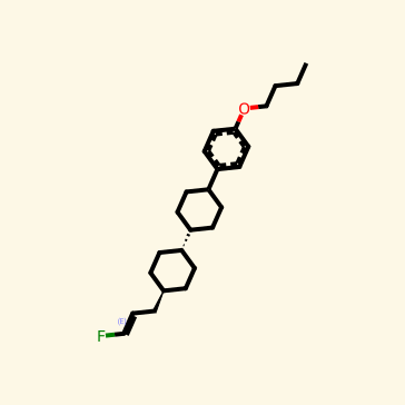 CCCCOc1ccc(C2CCC([C@H]3CC[C@H](C/C=C/F)CC3)CC2)cc1